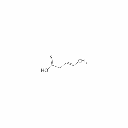 CC=CCC(O)=S